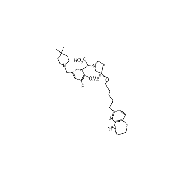 COc1c(F)cc(CN2CCC(C)(C)CC2)cc1C(C(=O)O)N1CC[C@@H](OCCCCCc2ccc3c(n2)NCCC3)C1